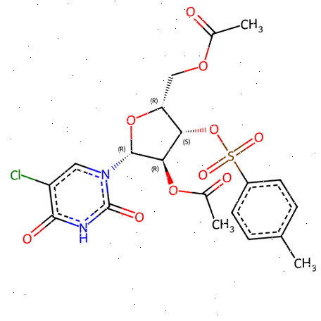 CC(=O)OC[C@H]1O[C@@H](n2cc(Cl)c(=O)[nH]c2=O)[C@H](OC(C)=O)[C@H]1OS(=O)(=O)c1ccc(C)cc1